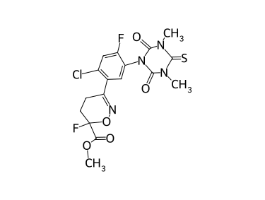 COC(=O)C1(F)CCC(c2cc(-n3c(=O)n(C)c(=S)n(C)c3=O)c(F)cc2Cl)=NO1